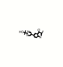 CC(C)(O)c1ncc(-c2ccc3ncc(F)c(Cl)c3c2)cn1